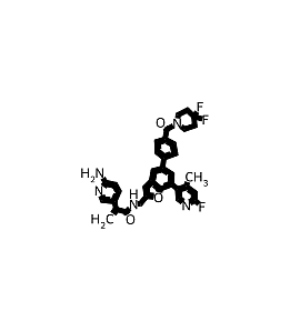 C=C(C(=O)NCc1cc2cc(-c3ccc(C(=O)N4CCC(F)(F)CC4)cc3)cc(-c3cnc(F)cc3C)c2o1)c1ccc(N)nc1